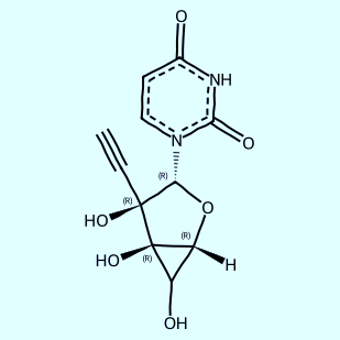 C#C[C@]1(O)[C@H](n2ccc(=O)[nH]c2=O)O[C@@H]2C(O)[C@@]21O